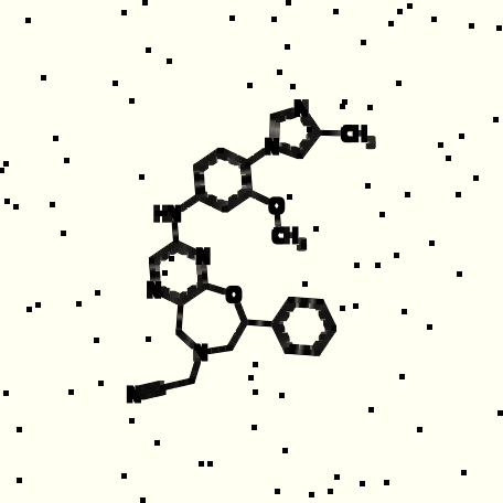 COc1cc(Nc2cnc3c(n2)OC(c2ccccc2)CN(CC#N)C3)ccc1-n1cnc(C)c1